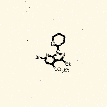 CCOC(=O)c1cc(Br)nc2c1c(CC)nn2C1CCCCO1